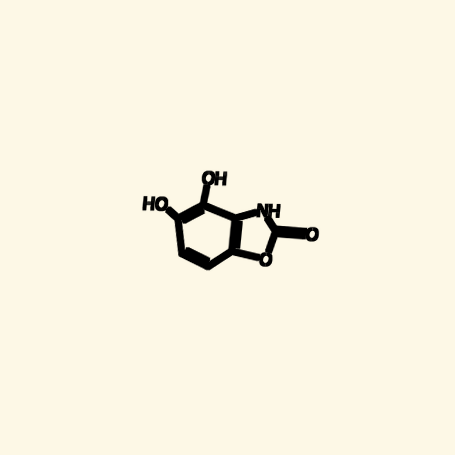 O=c1[nH]c2c(O)c(O)ccc2o1